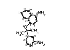 CC(C)(Oc1ccc(N)c2ccccc12)c1ccnc(N)c1